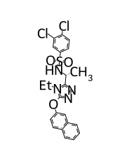 CCn1c(Oc2ccc3ccccc3c2)nnc1[C@@H](C)NS(=O)(=O)c1ccc(Cl)c(Cl)c1